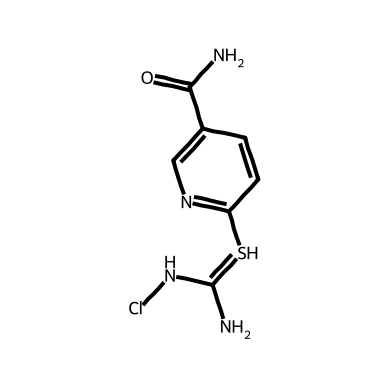 NC(=O)c1ccc([SH]=C(N)NCl)nc1